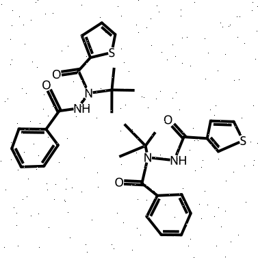 CC(C)(C)N(NC(=O)c1ccccc1)C(=O)c1cccs1.CC(C)(C)N(NC(=O)c1ccsc1)C(=O)c1ccccc1